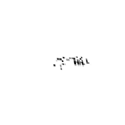 C=CN(CCCCCC(=C)NC(C)C(C)C)C(=C)C(C)CC